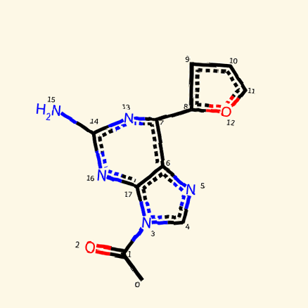 CC(=O)n1cnc2c(-c3ccco3)nc(N)nc21